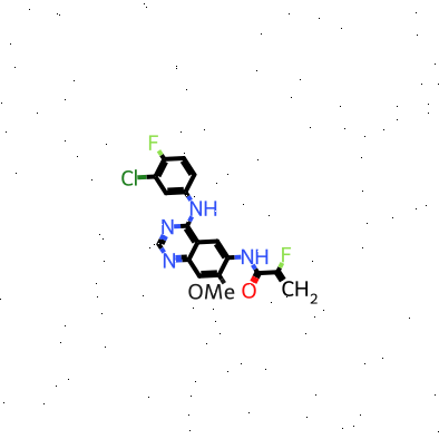 C=C(F)C(=O)Nc1cc2c(Nc3ccc(F)c(Cl)c3)ncnc2cc1OC